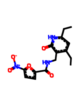 CCc1cc(CC)c(CNC(=O)c2ccc([N+](=O)[O-])o2)c(=O)[nH]1